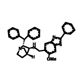 COc1cc2sc(-c3ccccc3)nc2cc1CN[C@H]1[C@@H]2CC[N@](C2)[C@@H]1C(c1ccccc1)c1ccccc1